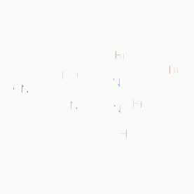 [C-]#[N+]CC1CCN(c2cc(C)nc3c2c(C)cn3-c2c(Br)cc(Br)cc2Br)CC1